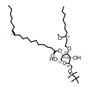 CCCCCC/C=C\CCCCCCCCCC(=O)O[C@@H]1[C@@H](OCC[C@H](CCCCCCC)OC)[C@H](O)[C@@H](CO[Si](C)(C)C(C)(C)C)O[C@@H]1O